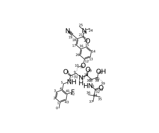 Cc1ccc(CNC(=O)[C@H](COc2cccc(C=C(C#N)C(=O)N(C)C)c2)NC(=O)[C@@H](NC(=O)C(C)(C)C)[C@@H](C)O)c(F)c1